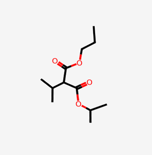 CCCOC(=O)C(C(=O)OC(C)C)C(C)C